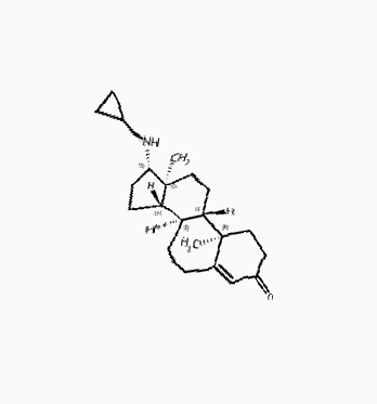 C[C@]12CC[C@H]3[C@@H](CCC4=CC(=O)CC[C@@]43C)[C@@H]1CC[C@@H]2NC1CC1